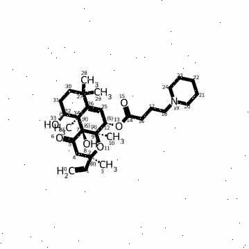 C=C[C@@]1(C)CC(=O)[C@@]2(O)[C@](C)(O1)[C@@H](OC(=O)CCCN1CCCCC1)C=C1C(C)(C)CC[C@H](O)[C@@]12C